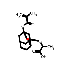 C=C(C)C(=O)OC12CC3CCC(C(C3)C1)C(OC(C)C(=O)O)C2